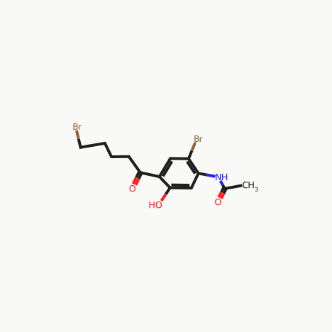 CC(=O)Nc1cc(O)c(C(=O)CCCCBr)cc1Br